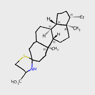 CC[C@H]1CC[C@H]2[C@@H]3CCC4CC5(CC[C@]4(C)[C@H]3CC[C@]12C)NC(C(=O)O)CS5